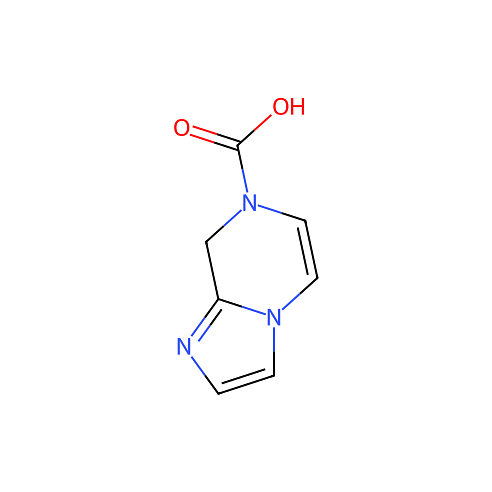 O=C(O)N1C=Cn2ccnc2C1